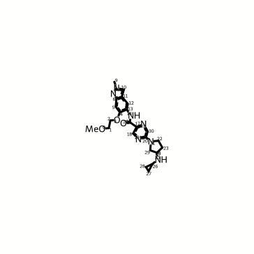 COCCOc1cc2nn(C)cc2cc1NC(=O)c1cnc(N2CC[C@@H](NC3CC3)C2)cn1